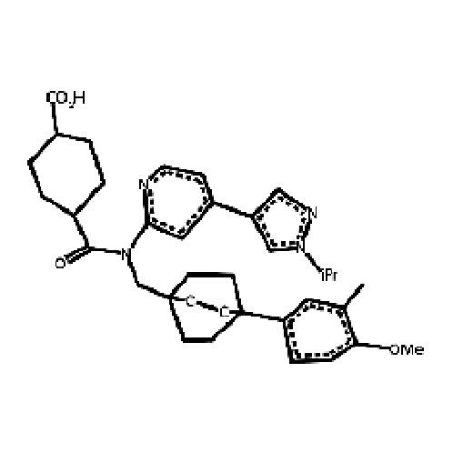 COc1ccc(C23CCC(CN(C(=O)C4CCC(C(=O)O)CC4)c4cc(-c5cnn(C(C)C)c5)ccn4)(CC2)CC3)cc1C